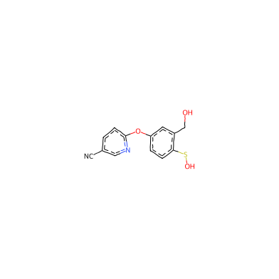 N#Cc1ccc(Oc2ccc(SO)c(CO)c2)nc1